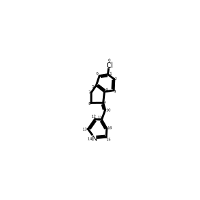 Clc1ccc2c(c1)CCC2=Cc1ccncc1